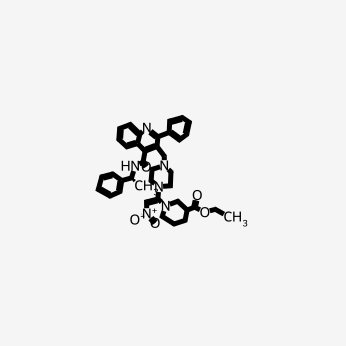 CCOC(=O)C1CCCN(C(=C[N+](=O)[O-])N2CCN(Cc3c(-c4ccccc4)nc4ccccc4c3C(=O)N[C@@H](C)c3ccccc3)CC2)C1